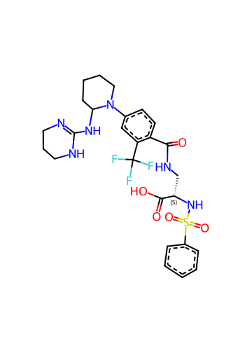 O=C(NC[C@H](NS(=O)(=O)c1ccccc1)C(=O)O)c1ccc(N2CCCCC2NC2=NCCCN2)cc1C(F)(F)F